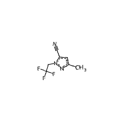 Cc1cc(C#N)n(CC(F)(F)F)n1